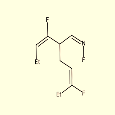 CC/C=C(/F)C(/C=N\F)C/C=C(/F)CC